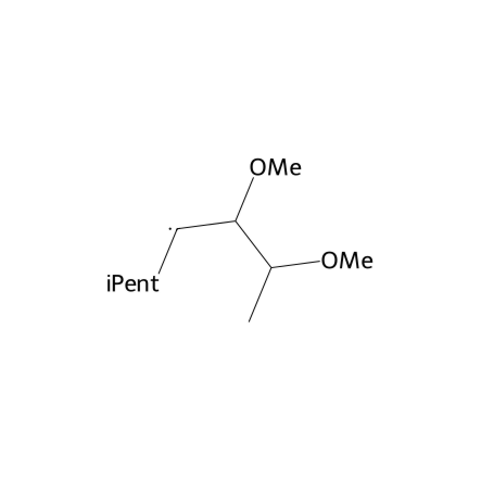 CCCC(C)[CH]C(OC)C(C)OC